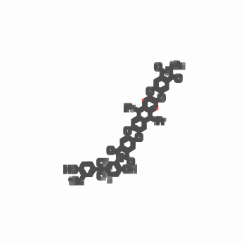 CC(C)C12c3ccccc3C(C(C)C)(c3cc4oc5cc6c(=O)n(-c7cc(C(c8ccc(O)c(C(C)(C)C)c8)(C(F)(F)F)C(F)(F)F)ccc7O)c(=O)c6cc5oc4cc31)c1cc3oc4cc5c(=O)n(C(C)(C)C)c(=O)c5cc4oc3cc12